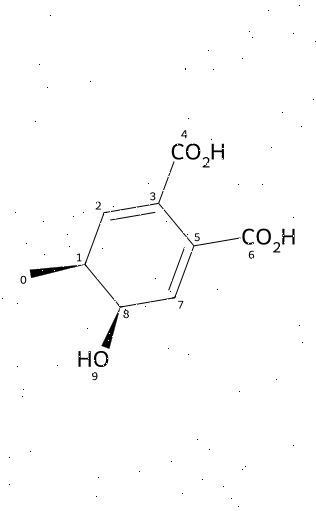 C[C@H]1C=C(C(=O)O)C(C(=O)O)=C[C@H]1O